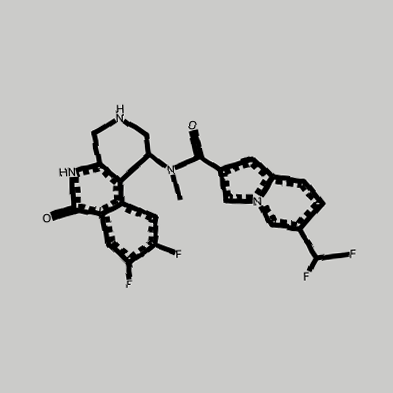 CN(C(=O)c1cc2ccc(C(F)F)cn2c1)C1CNCc2[nH]c(=O)c3cc(F)c(F)cc3c21